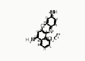 CC(=O)O.N=c1ccc2nc3c(cc(N)c4ccccc43)oc-2c1